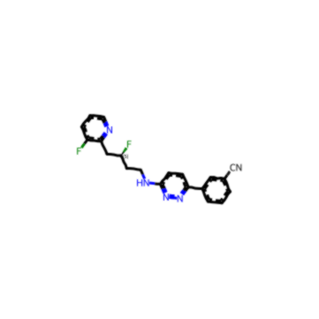 N#Cc1cccc(-c2ccc(NCC[C@H](F)Cc3ncccc3F)nn2)c1